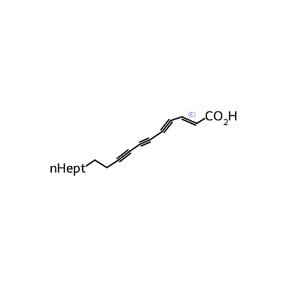 CCCCCCCCCC#CC#CC#C/C=C/C(=O)O